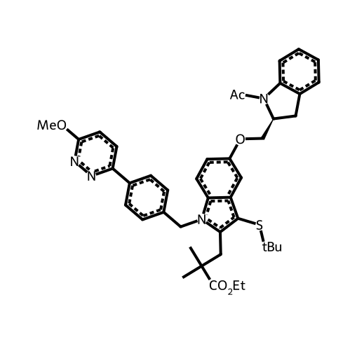 CCOC(=O)C(C)(C)Cc1c(SC(C)(C)C)c2cc(OC[C@@H]3Cc4ccccc4N3C(C)=O)ccc2n1Cc1ccc(-c2ccc(OC)nn2)cc1